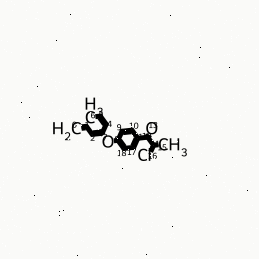 C=C/C=C(\C=C/C)Oc1ccc(C(=O)C(C)Cl)cc1